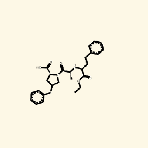 CCOC(=O)C(CCc1ccccc1)N[C@@H](C)C(=O)N1CC(Sc2ccccc2)C[C@H]1C(=O)O